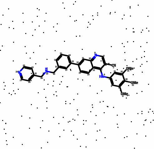 COc1cc(Nc2c(C#N)cnc3cc(-c4cccc(CNCc5ccncc5)c4)ccc23)cc(OC)c1OC